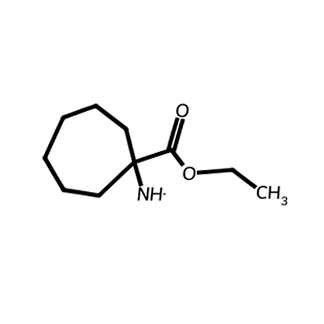 CCOC(=O)C1([NH])CCCCCC1